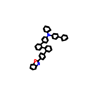 c1ccc(-c2ccc(N(c3ccccc3)c3ccc(-c4ccccc4-c4ccccc4-c4ccc(-c5nc6ccccc6o5)cc4)cc3)cc2)cc1